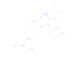 CC(C)c1ccc(C=C(C(N)=O)C(=O)N(c2cccc(Br)n2)c2cccc(Br)n2)cc1